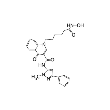 Cn1nc(-c2ccccc2)cc1NC(=O)c1cn(CCCCCC(=O)NO)c2ccccc2c1=O